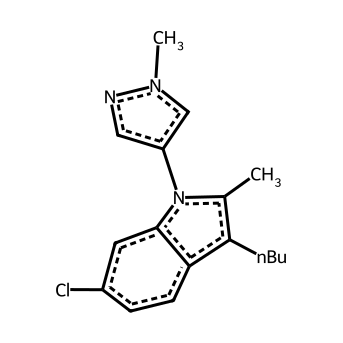 CCCCc1c(C)n(-c2cnn(C)c2)c2cc(Cl)ccc12